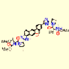 COC(=O)NC(C(=O)N1C[C@@H](C)C[C@H]1c1nc2ccc3cc4c(cc3c2[nH]1)OCc1cc(-c2cnc([C@@H]3CC[C@H](C)N3C(=O)[C@@H](NC(=O)OC)C(C)C)[nH]2)ccc1-4)[C@H](C)OC